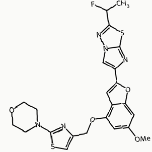 COc1cc(OCc2csc(N3CCOCC3)n2)c2cc(-c3cn4nc(C(C)F)sc4n3)oc2c1